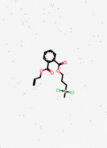 C=CCOC(=O)c1ccccc1C(=O)OCCC[Si](C)(Cl)Cl